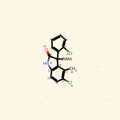 CNC1(c2ccccc2Cl)C(=O)Nc2ccc(Cl)c(C)c21